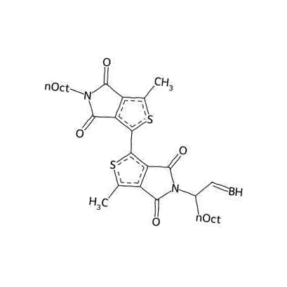 B=CC(CCCCCCCC)N1C(=O)c2c(C)sc(-c3sc(C)c4c3C(=O)N(CCCCCCCC)C4=O)c2C1=O